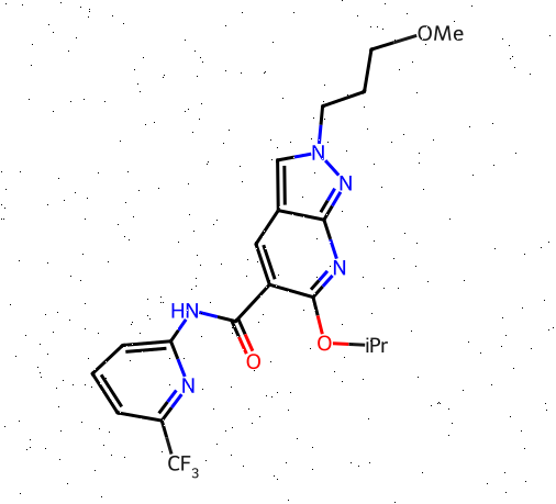 COCCCn1cc2cc(C(=O)Nc3cccc(C(F)(F)F)n3)c(OC(C)C)nc2n1